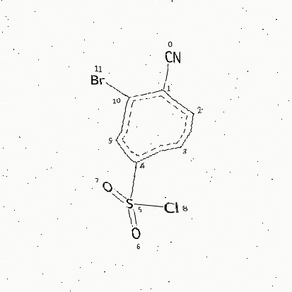 N#Cc1ccc(S(=O)(=O)Cl)cc1Br